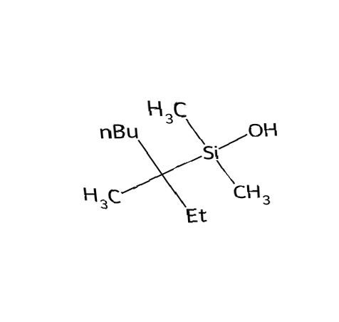 CCCCC(C)(CC)[Si](C)(C)O